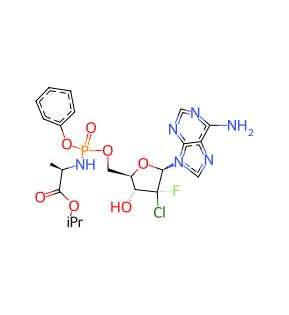 CC(C)OC(=O)[C@@H](C)N[P@@](=O)(OC[C@H]1O[C@@H](n2cnc3c(N)ncnc32)[C@@](F)(Cl)[C@@H]1O)Oc1ccccc1